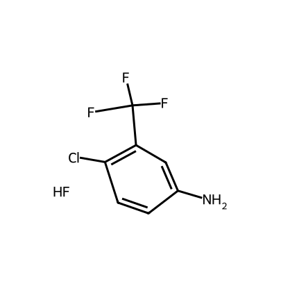 F.Nc1ccc(Cl)c(C(F)(F)F)c1